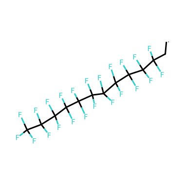 [CH2]CC(F)(F)C(F)(F)C(F)(F)C(F)(F)C(F)(F)C(F)(F)C(F)(F)C(F)(F)C(F)(F)C(F)(F)C(F)(F)F